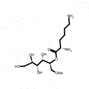 COC[C@H](OC(=O)[C@@H](N)CCCCN)[C@@H](O)[C@H](O)[C@H](O)CO